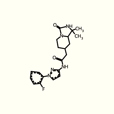 CC1(C)NC(=O)N2CCC(CC(=O)Nc3ccn(-c4ccccc4F)n3)CC21